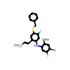 CCOC(=O)/C=C/c1cc(SCc2ccccc2)c(F)cc1Nc1cc(F)c(Br)cc1OC